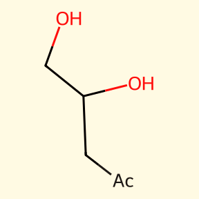 [CH2]C(=O)CC(O)CO